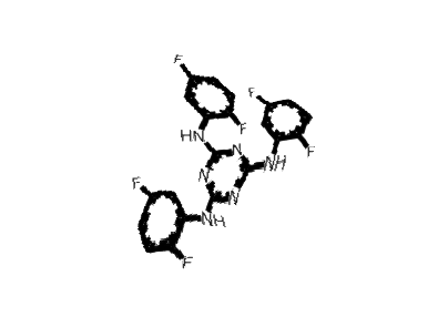 Fc1ccc(F)c(Nc2nc(Nc3cc(F)ccc3F)nc(Nc3cc(F)ccc3F)n2)c1